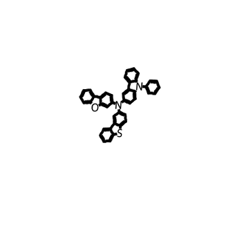 c1ccc(-n2c3ccccc3c3cc(N(c4ccc5c(c4)oc4ccccc45)c4ccc5sc6ccccc6c5c4)ccc32)cc1